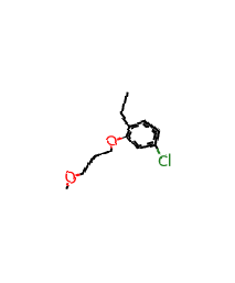 CCc1ccc(Cl)cc1OCCCOC